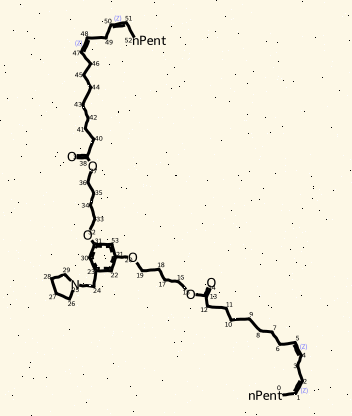 CCCCC/C=C\C/C=C\CCCCCCCC(=O)OCCCCOc1cc(CN2CCCC2)cc(OCCCCOC(=O)CCCCCCC/C=C\C/C=C\CCCCC)c1